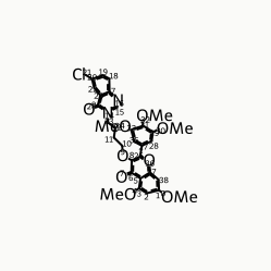 COc1cc(OC)c2c(=O)c(OCCCCn3cnc4ccc(Cl)cc4c3=O)c(-c3cc(OC)c(OC)c(OC)c3)oc2c1